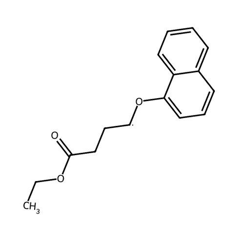 CCOC(=O)CC[CH]Oc1cccc2ccccc12